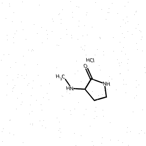 CNC1CCNC1=O.Cl